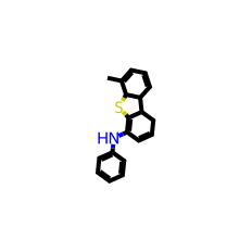 CC1=CC=CC2C3CC=CC(Nc4ccccc4)=C3SC12